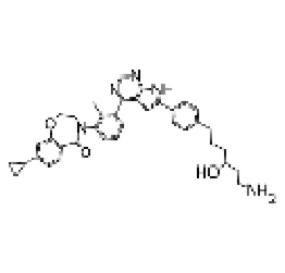 Cc1c(-c2ncnc3[nH]c(-c4ccc(CCCC(O)CCN)cc4)cc23)cccc1N1CCOc2cc(C3CC3)ccc2C1=O